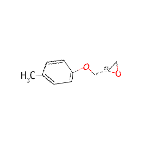 Cc1ccc(OC[C@@H]2CO2)cc1